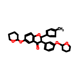 Cc1ccc(C2Oc3ccc(OC4CCCCO4)cc3C(=O)C2c2cccc(OC3CCCCO3)c2)cc1